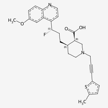 COc1ccc2nccc([C@@H](F)CC[C@@H]3CCN(CC#Cc4ccc(C)s4)C[C@@H]3C(=O)O)c2c1